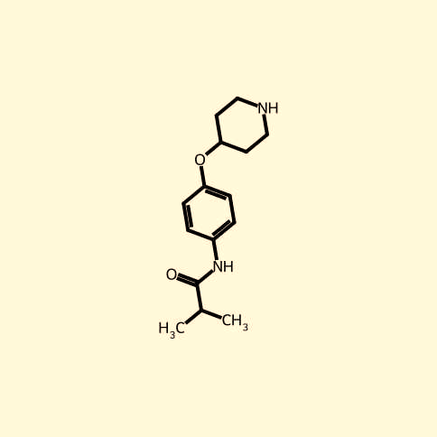 CC(C)C(=O)Nc1ccc(OC2CCNCC2)cc1